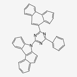 c1ccc(-c2nc(-c3cc4ccccc4c4ccccc34)nc(-n3c4ccccc4c4c5ccccc5ccc43)n2)cc1